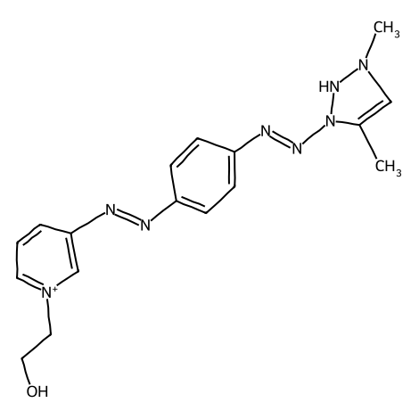 CC1=CN(C)NN1N=Nc1ccc(N=Nc2ccc[n+](CCO)c2)cc1